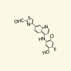 O=Cc1nc(-c2ccc3c(Nc4cc(O)c(F)cc4Cl)ccnc3c2)cs1